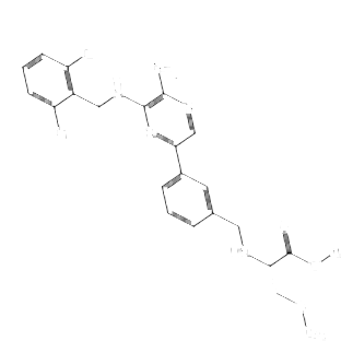 CC(C)(C)OC[C@H](NCc1cccc(-c2cnc(N)c(NCc3c(Cl)cccc3Cl)n2)c1)C(=O)OC(C)(C)C